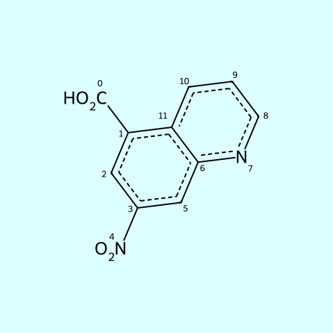 O=C(O)c1cc([N+](=O)[O-])cc2ncccc12